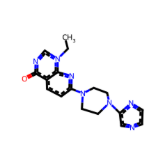 CCn1cnc(=O)c2ccc(N3CCN(c4cnccn4)CC3)nc21